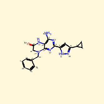 Nc1nc(-c2cc(C3CC3)n[nH]2)nc2c1NC(=O)CN2Cc1ccccc1